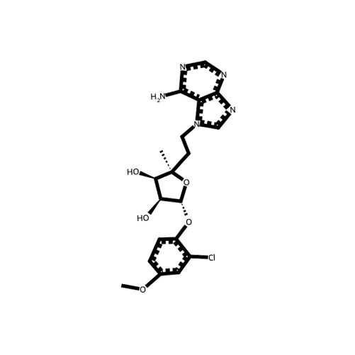 COc1ccc(O[C@H]2O[C@](C)(CCn3cnc4ncnc(N)c43)[C@H](O)[C@@H]2O)c(Cl)c1